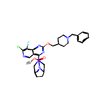 CC(C)(C)OC(=O)N1C2CCC1CN(c1nc(OCC3CCN(Cc4ccccc4)CC3)nc3c(F)c(Cl)ncc13)C2